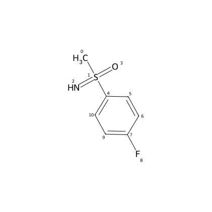 CS(=N)(=O)c1ccc(F)cc1